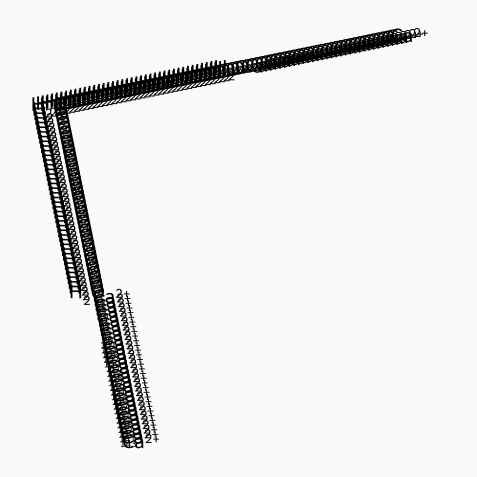 O.O.O.O.O.O.O.O.O.O.O.O.O.O.O.O.O.O.O.O.O.O.O.O.O.O.O.O.O.O.O.O.O.O.O.O.O.O.O.O.O.O.O.O.O.O.O.O.O.O.O.O.O.O.O.O.O.O.O.O.O.O.O.O.O.O.O.O.O.O.O.O.O.O.O.O.O.O.O.O.[Ca+2].[Ca+2].[Ca+2].[Ca+2].[Ca+2].[Ca+2].[Ca+2].[Ca+2].[Ca+2].[Ca+2].[Ca+2].[Ca+2].[Ca+2].[Ca+2].[Ca+2].[Ca+2].[Ca+2].[Ca+2].[Ca+2].[Ca+2].[Ca+2].[Ca+2].[Ca+2].[Ca+2].[Ca+2].[Ca+2].[Ca+2].[Ca+2].[Ca+2].[Ca+2].[Ca+2].[Ca+2].[Ca+2].[Ca+2].[Ca+2].[Ca+2].[Ca+2].[Ca+2].[Ca+2].[Ca+2].[Ca+2].[Ca+2].[Ca+2].[Ca+2].[Ca+2].[Ca+2].[Ca+2].[Ca+2].[Ca+2].[Ca+2].[Ca+2].[Ca+2].[Ca+2].[Ca+2].[Ca+2].[Ca+2].[Ca+2].[Ca+2].[Ca+2].[Ca+2].[Ca+2].[Ca+2].[Ca+2].[Ca+2].[Ca+2]